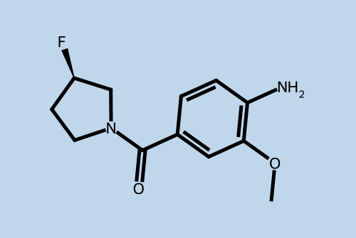 COc1cc(C(=O)N2CC[C@@H](F)C2)ccc1N